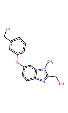 CCc1cccc(Oc2ccc3nc(CO)n(C)c3c2)c1